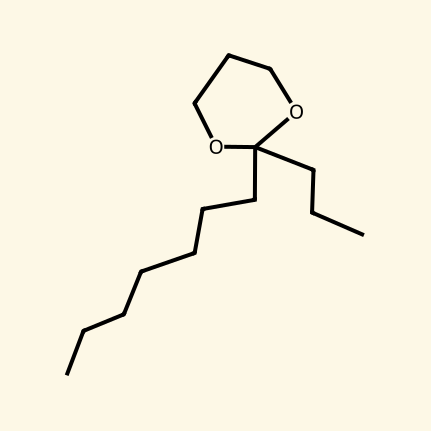 CCCCCCCC1(CCC)OCCCO1